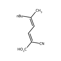 CCCC/C(C)=C\C=C(/C#N)C(=O)O